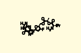 CC(C)[C@H](N)C(=O)O[C@@H](C)C(=O)OC[C@H]1O[C@@H](n2cnc3c(=O)[nH]c(N)nc32)C[C@@H]1F